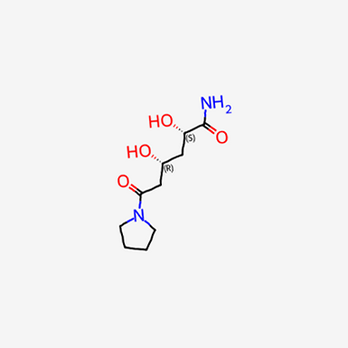 NC(=O)[C@@H](O)C[C@@H](O)CC(=O)N1CCCC1